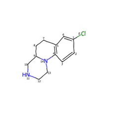 Clc1ccc2c(c1)CCC1CNCCN21